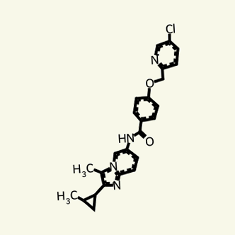 Cc1c(C2CC2C)nc2ccc(NC(=O)c3ccc(OCc4ccc(Cl)cn4)cc3)cn12